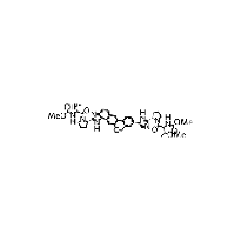 COC(=O)NC(C(=O)N1[C@@H](C)CC[C@H]1c1ncc(-c2ccc3c(c2)COc2cc4c(ccc5nc([C@@H]6CC[C@H](C)N6C(=O)[C@@H](NC(=O)OC)C(C)C)[nH]c54)cc2-3)[nH]1)[C@@H](C)OC